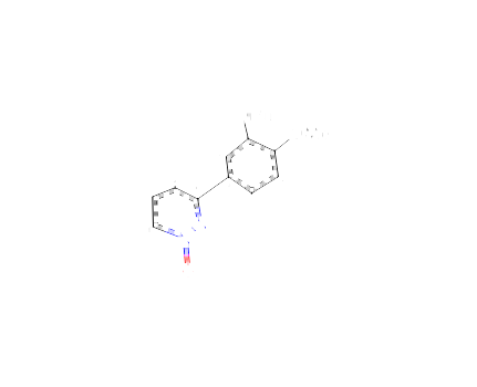 COc1ccc(-c2ccc[n+](=O)[nH]2)cc1OCC(C)C